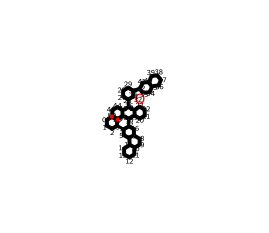 c1ccc(-c2cc3c(ccc4ccccc43)cc2-c2c3ccccc3c(-c3cccc4c3oc3cc5ccccc5cc34)c3ccccc23)cc1